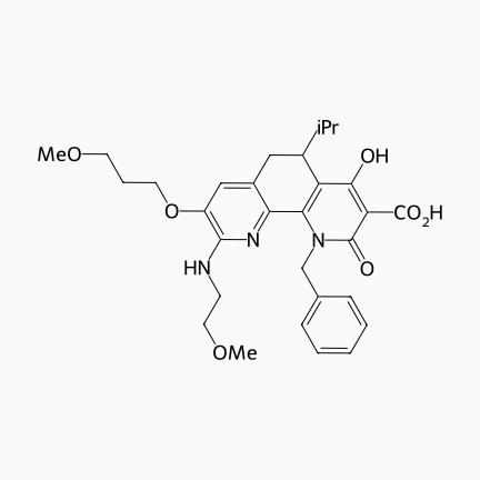 COCCCOc1cc2c(nc1NCCOC)-c1c(c(O)c(C(=O)O)c(=O)n1Cc1ccccc1)C(C(C)C)C2